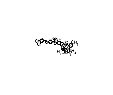 CC1CC[C@@H](C(C)C)[C@H](OC(=O)[C@@H]2Cc3cc4c(cc3CN2C(=O)OC(C)(C)C)O[C@@H](c2ccc(OCc3ccc(Cl)c(Cl)c3)cc2)C(=O)N4)C1